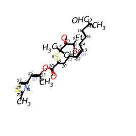 CCC(Br)C(=O)C(C)(C)SC(CC/C=C\CCC[C@H](C)C=O)C(=O)O/C(C)=C/c1csc(C)n1